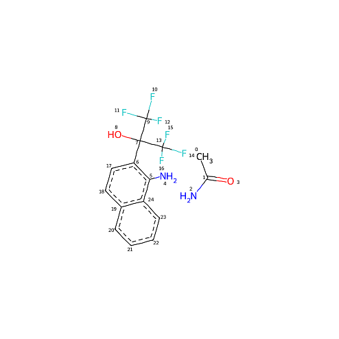 CC(N)=O.Nc1c(C(O)(C(F)(F)F)C(F)(F)F)ccc2ccccc12